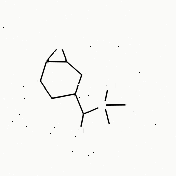 CC(C1CCC2OC2C1)[Si](C)(C)C